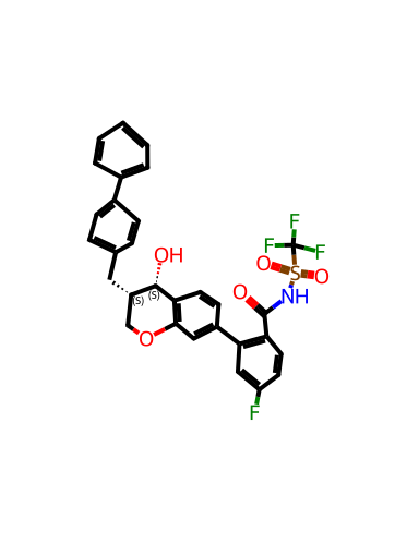 O=C(NS(=O)(=O)C(F)(F)F)c1ccc(F)cc1-c1ccc2c(c1)OC[C@H](Cc1ccc(-c3ccccc3)cc1)[C@@H]2O